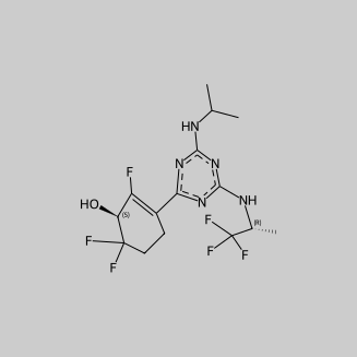 CC(C)Nc1nc(N[C@H](C)C(F)(F)F)nc(C2=C(F)[C@H](O)C(F)(F)CC2)n1